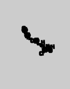 O=c1[nH]nc2c(NCCCc3cccc(OCCN4CCC(N5CCOCC5)CC4)c3)cc(Cl)cn12